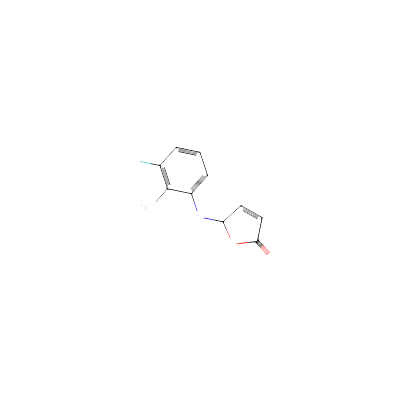 N#Cc1c(F)cccc1NC1C=CC(=O)O1